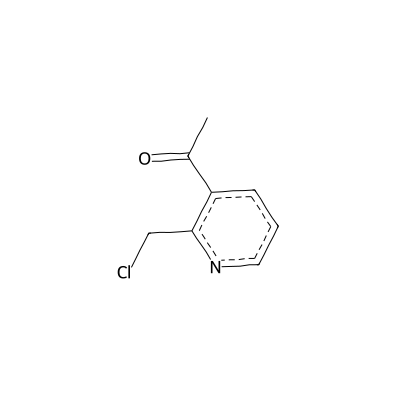 CC(=O)c1cccnc1CCl